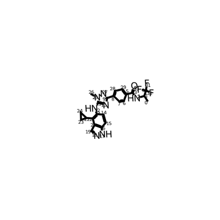 CC(NC(=O)c1ccc(-c2nc(Nc3ccc4[nH]ncc4c3C3CC3)n(C)n2)cc1)C(F)(F)F